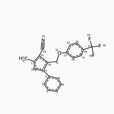 Cc1nn(-c2ccccc2)c(COc2ccc(C(F)(F)F)cc2)c1C#N